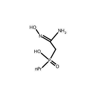 CCCP(=O)(O)CC(N)=NO